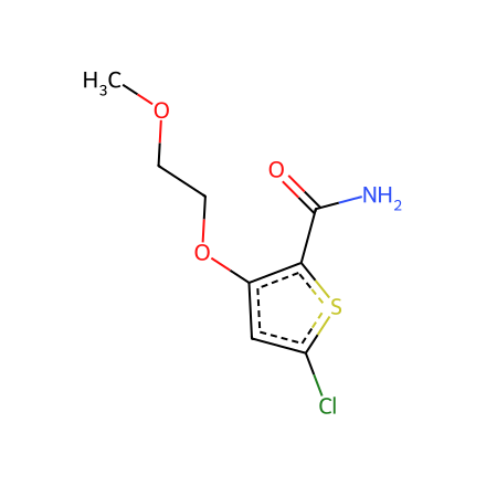 COCCOc1cc(Cl)sc1C(N)=O